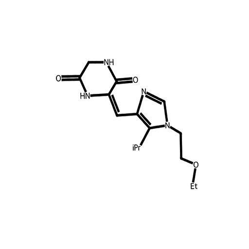 CCOCCn1cnc(C=C2NC(=O)CNC2=O)c1C(C)C